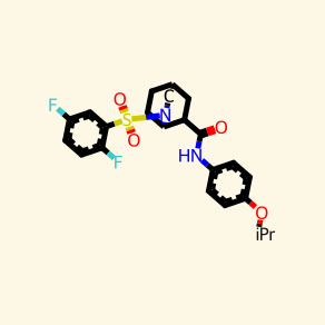 CC(C)Oc1ccc(NC(=O)C2CC3CCC2N(S(=O)(=O)c2cc(F)ccc2F)C3)cc1